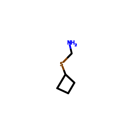 NCSC1CCC1